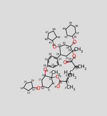 C=C(C)C(=O)OC1(C)CCC(OC2CCCC2)CC1Oc1ccc(C2CC(C)(OC(=O)C(=C)C)C(OC3CCCCC3)CC2OC2CCCC2)cc1